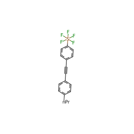 CCCc1ccc(C#Cc2ccc(S(F)(F)(F)(F)F)cc2)cc1